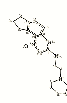 [O-][n+]1nc(NCCN2CCCCC2)nc2ccc3c(c21)CCC3